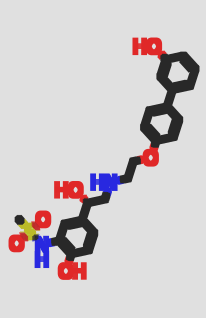 CS(=O)(=O)Nc1cc([C@@H](O)CNCCOc2ccc(-c3cccc(O)c3)cc2)ccc1O